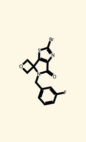 O=C1c2nc(Br)sc2C2(COC2)N1Cc1cccc(F)c1